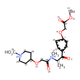 C[C@@H](C(=O)c1ccc(OCC(=O)OC(C)(C)C)cc1)N(C)C(=O)COC1CCN(C(=O)O)CC1